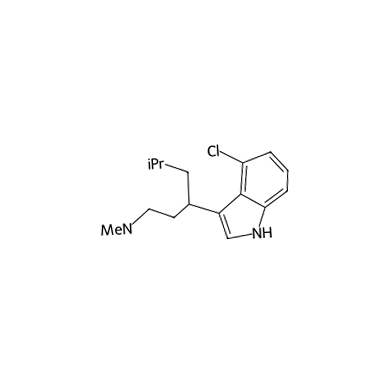 CNCCC(CC(C)C)c1c[nH]c2cccc(Cl)c12